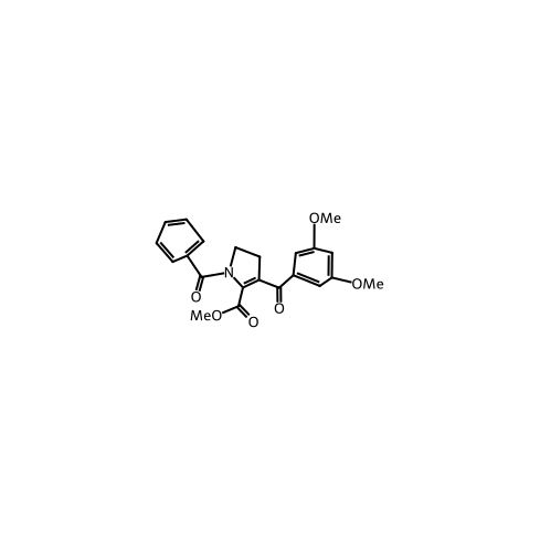 COC(=O)C1=C(C(=O)c2cc(OC)cc(OC)c2)CCN1C(=O)c1ccccc1